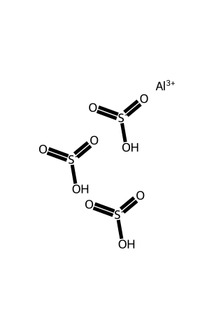 O=[S-](=O)O.O=[S-](=O)O.O=[S-](=O)O.[Al+3]